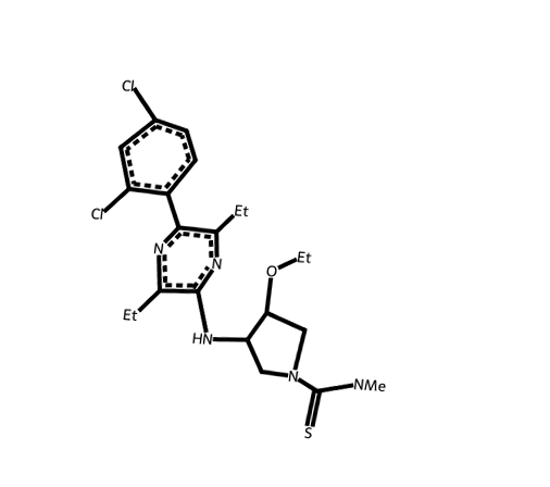 CCOC1CN(C(=S)NC)CC1Nc1nc(CC)c(-c2ccc(Cl)cc2Cl)nc1CC